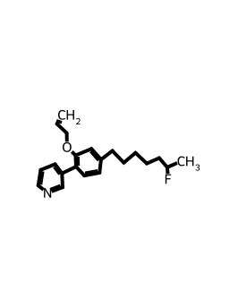 C=CCOc1cc(CCCCCC(C)F)ccc1-c1cccnc1